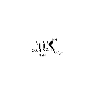 CC(=O)O.CC(=O)O.N=CC(=O)O.[NaH]